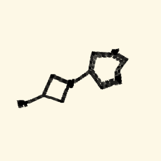 CC(C)C1CN(c2cncnc2)C1